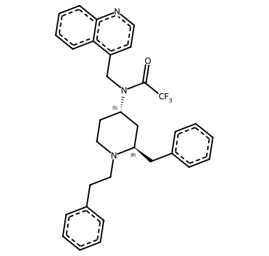 O=C(N(Cc1ccnc2ccccc12)[C@H]1CCN(CCc2ccccc2)[C@H](Cc2ccccc2)C1)C(F)(F)F